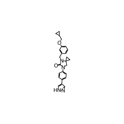 O=C1N(c2ccc(-c3cn[nH]c3)cc2)CC2(CC2)N1Cc1cccc(OCC2CC2)c1